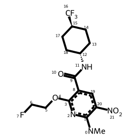 CNc1nc(OCCF)c(C(=O)N[C@H]2CC[C@H](C(F)(F)F)CC2)cc1[N+](=O)[O-]